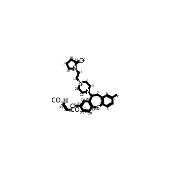 Cc1ccc2c(c1)CC(N1CCN(CCN3CCCC3=O)CC1)c1cc(Cl)ccc1S2.O=C(O)/C=C\C(=O)O